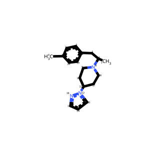 Cc1ccc(CC(C)N2CCC(n3cccn3)CC2)cc1